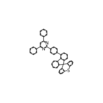 c1ccc(-c2cc(-c3ccccc3)nc(-c3ccc(-c4cccc5c4-c4ccccc4C54c5ccccc5Sc5ccccc54)cc3)n2)cc1